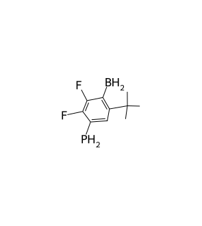 Bc1c(C(C)(C)C)cc(P)c(F)c1F